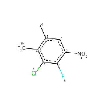 Cc1cc([N+](=O)[O-])c(F)c(Cl)c1C(F)(F)F